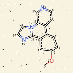 COc1ccc2c3ccncc3n3ccnc3c2c1